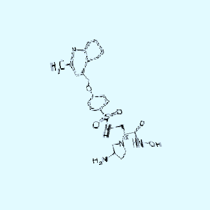 Cc1cc(COc2ccc(S(=O)(=O)NC[C@@H](C(=O)NO)N3CCC(N)C3)cc2)c2ccccc2n1